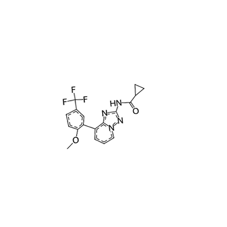 COc1ccc(C(F)(F)F)cc1-c1cccn2nc(NC(=O)C3CC3)nc12